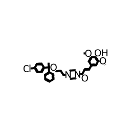 COc1cc(C=CC(=O)N2CCN(CCCOC(C)(c3ccccc3)c3ccc(Cl)cc3)CC2)cc(OC)c1O